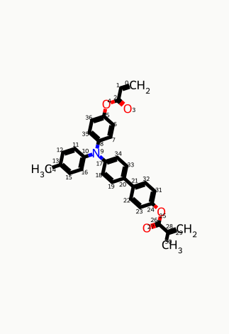 C=CC(=O)Oc1ccc(N(c2ccc(C)cc2)c2ccc(-c3ccc(OC(=O)C(=C)C)cc3)cc2)cc1